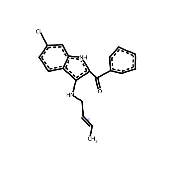 C/C=C/CNc1c(C(=O)c2ccccc2)[nH]c2cc(Cl)ccc12